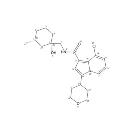 C[C@@H]1CCC[C@@](O)(CNC(=O)c2cc(C3CCOCC3)n3cccc(Cl)c23)C1